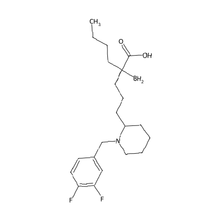 BC(CCCC)(CCCC1CCCCN1Cc1ccc(F)c(F)c1)C(=O)O